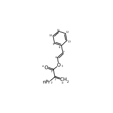 C=C(CCC)C(=O)OC=Cc1ccccc1